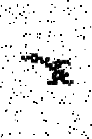 COC(=O)C1C(NC(=O)C(=NOCC(=O)OCc2ccc([N+](=O)[O-])cc2)c2csc(N)n2)C(=O)N1S(=O)(=O)O